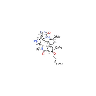 COCCCOc1cc(C(=O)N(C[C@@H]2CNC[C@H]2C(Cc2cccc(OC)c2)(NC(N)=O)C2CC2)C(C)C)ccc1OC